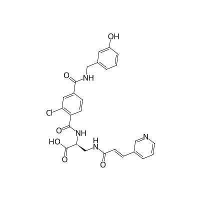 O=C(C=Cc1cccnc1)NC[C@H](NC(=O)c1ccc(C(=O)NCc2cccc(O)c2)cc1Cl)C(=O)O